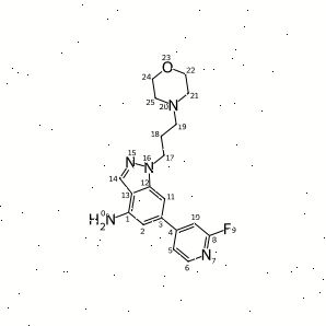 Nc1cc(-c2ccnc(F)c2)cc2c1cnn2CCCN1CCOCC1